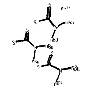 CCCCN(CCCC)C(=S)[S-].CCCCN(CCCC)C(=S)[S-].CCCCN(CCCC)C(=S)[S-].[Fe+3]